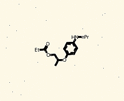 CCCNc1ccc(OC(C)COC(=O)CC)cc1